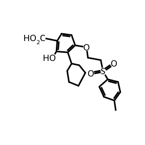 Cc1ccc(S(=O)(=O)CCOc2ccc(C(=O)O)c(O)c2C2CCCCC2)cc1